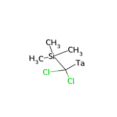 C[Si](C)(C)[C](Cl)(Cl)[Ta]